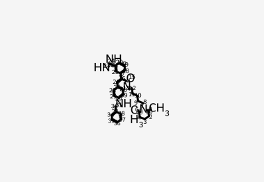 C[C@@H]1CCC[C@H](C)N1CCCCCn1c(=O)c(-c2cccc(C(=N)N)c2)cc2ccc(NCc3ccccc3)cc21